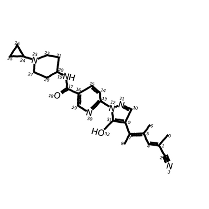 C/C(C#N)=C\C(C)=C(/C)c1cnn(-c2ccc(C(=O)NC3CCN(C4CC4)CC3)cn2)c1O